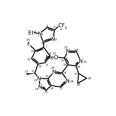 CCn1cc(C(F)(F)F)nc1-c1ccc([C@H](C)n2ncc3cnc(-c4c(OC)ncnc4C4CC4)nc32)cc1F